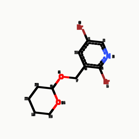 Brc1cnc(Br)c(COC2CCCCO2)c1